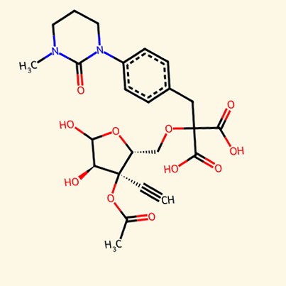 C#C[C@@]1(OC(C)=O)[C@@H](COC(Cc2ccc(N3CCCN(C)C3=O)cc2)(C(=O)O)C(=O)O)OC(O)[C@@H]1O